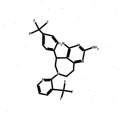 Nc1nc(N)c2c(n1)CCN(c1ncccc1C(F)(F)F)CC2c1ccc(C(F)(F)F)cc1